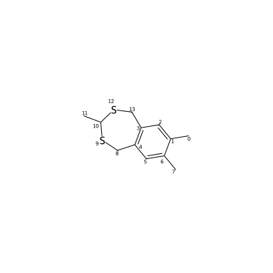 Cc1cc2c(cc1C)CSC(C)SC2